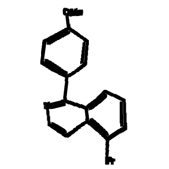 COc1ccc(-c2nccc3c(C(C)C)cccc23)cc1